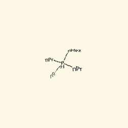 CCCCCC[PH](CCC)(CCC)CCC